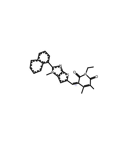 CCN1C(=O)C(C)=C(C)/C(=C/c2cc3c(nc(-c4cccc5ccccc45)n3C)s2)C1=O